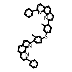 Cc1cc(Sc2ccc(-c3ccc4ccc5ccc(-c6ccccc6)nc5c4n3)c(C)c2)ccc1-c1ccc2ccc3ccc(-c4ccccc4)nc3c2n1